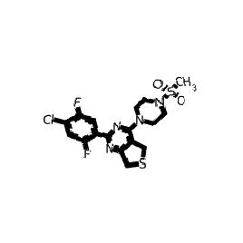 CS(=O)(=O)N1CCN(c2nc(-c3cc(F)c(Cl)cc3F)nc3c2CSC3)CC1